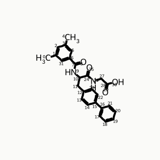 Cc1cc(C)cc(C(=O)NC(Cc2ccc(-c3ccccc3)cc2)C(=O)NCC(=O)O)c1